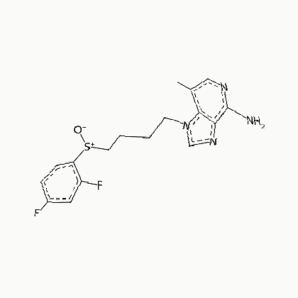 Cc1cnc(N)c2ncn(CCCC[S+]([O-])c3ccc(F)cc3F)c12